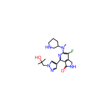 CN(c1nc(-c2cnn(CC(C)(C)O)c2)c2c(c1F)CNC2=O)C1CCCNC1